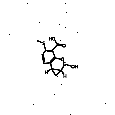 CSc1ccc2c(c1C(=O)O)OB(O)[C@@H]1C[C@H]21